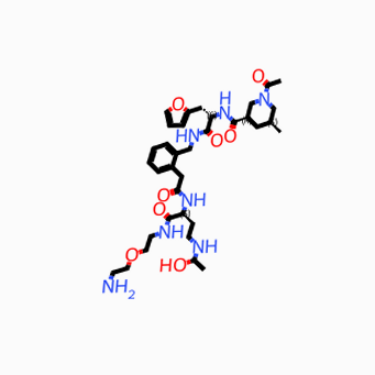 CC(=O)N1C[C@@H](C)C[C@@H](C(=O)N[C@@H](Cc2ccco2)C(=O)NCc2ccccc2CC(=O)N[C@@H](CCNC(C)O)C(=O)NCCOCCN)C1